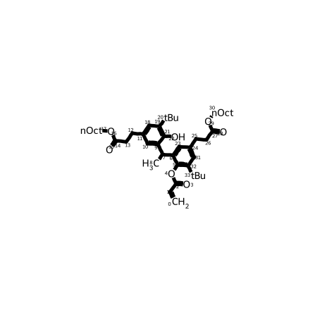 C=CC(=O)Oc1c(C(C)c2cc(CCC(=O)OCCCCCCCC)cc(C(C)(C)C)c2O)cc(CCC(=O)OCCCCCCCC)cc1C(C)(C)C